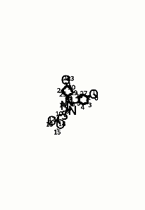 COc1ccc(-c2nc(SCC(OC)OC)nn2-c2ccc(OC)cc2)cc1